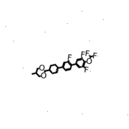 CC1COC(C2CC=C(c3ccc(-c4cc(F)c(OC(F)F)c(F)c4)c(F)c3)CC2)OC1